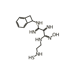 N=C(NC1Cc2ccccc21)C(=N)/C(=N\O)NCCNS